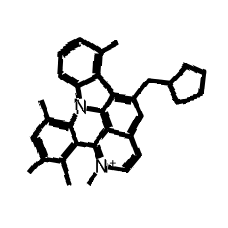 Cc1cc(C)c2c(c1C)c1c3c(cc[n+]1C)cc(CC1CCCC1)c1c4c(C)cccc4n2c13